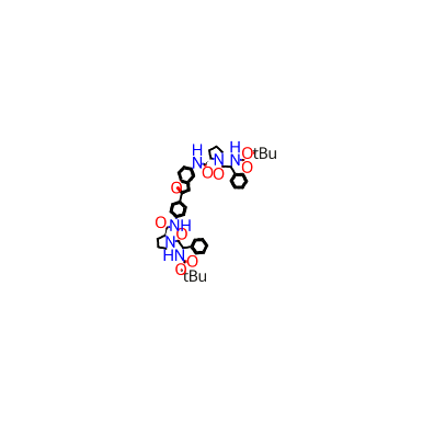 CC(C)(C)OC(=O)N[C@@H](C(=O)N1CCC[C@H]1C(=O)Nc1ccc(-c2cc3cc(NC(=O)[C@@H]4CCCN4C(=O)[C@H](NC(=O)OC(C)(C)C)c4ccccc4)ccc3o2)cc1)c1ccccc1